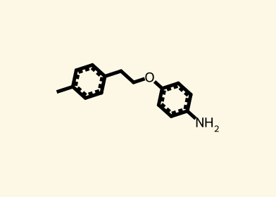 Cc1ccc(CCOc2ccc(N)cc2)cc1